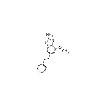 COc1cc(CCc2ccccn2)cc2sc(N)nc12